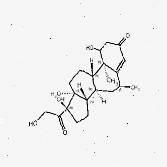 C[C@H]1C[C@H]2[C@@H]3CC[C@](O)(C(=O)CO)[C@@]3(C)CC[C@@H]2[C@]2(C)C1=CC(=O)CC2O